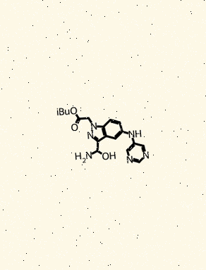 CC(C)COC(=O)Cn1nc(C(N)O)c2cc(Nc3cncnc3)ccc21